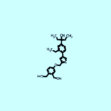 CCc1cc(C(O)(CC)CC)ccc1-c1csc(COc2ccc(CO)c(CO)c2)c1